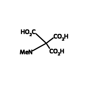 CNC(C(=O)O)(C(=O)O)C(=O)O